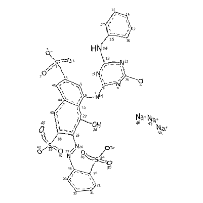 O=S(=O)([O-])c1cc(Nc2nc(Cl)nc(Nc3ccccc3)n2)c2c(O)c(/N=N/c3ccccc3S(=O)(=O)[O-])c(S(=O)(=O)[O-])cc2c1.[Na+].[Na+].[Na+]